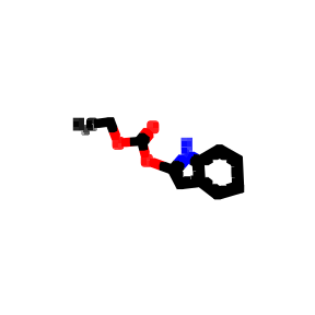 CCOC(=O)Oc1cc2ccccc2[nH]1